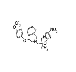 CC1(CN(CCOc2ccc(OC(F)(F)F)cc2)Cc2ccccc2)Cn2cc([N+](=O)[O-])nc2O1